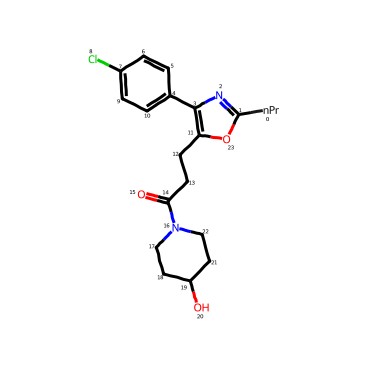 CCCc1nc(-c2ccc(Cl)cc2)c(CCC(=O)N2CCC(O)CC2)o1